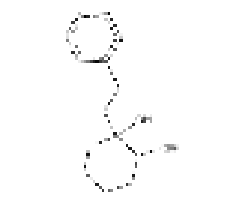 CC(C)(C)C1CCCCC1(O)CCc1ccccc1